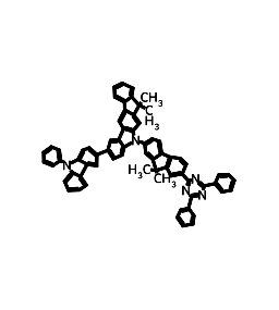 CC1(C)c2cc(-c3nc(-c4ccccc4)nc(-c4ccccc4)n3)ccc2-c2ccc(-n3c4ccc(-c5ccc6c(c5)c5ccccc5n6-c5ccccc5)cc4c4cc5c(cc43)C(C)(C)c3ccccc3-5)cc21